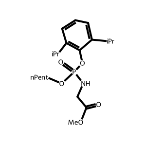 CCCCCOP(=O)(NCC(=O)OC)Oc1c(C(C)C)cccc1C(C)C